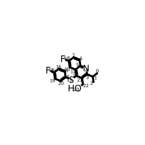 CC(C)c1nc2ccc(F)cc2c(Sc2ccc(F)cc2)c1CO